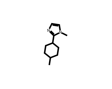 CC1CCC(c2nccn2C)CC1